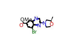 COC(=O)c1cc(Br)c2nc(N3CCO[C@H](C)C3)cnc2c1